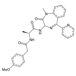 COc1ccc(CC(=O)N[C@@H](C)C(=O)NC2N=C(c3ccccn3)c3ccccc3N(C)C2=O)cc1